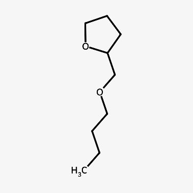 CCCCOCC1CCCO1